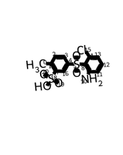 Cc1ccc(S(=O)(=O)c2c(N)cccc2Cl)cc1S(=O)(=O)O